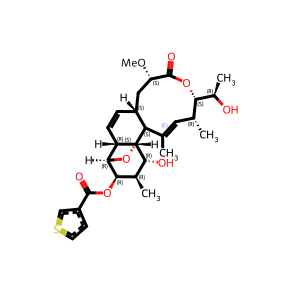 CO[C@H]1C[C@H]2C=C[C@H]3[C@H]4O[C@]2(/C(C)=C/[C@@H](C)[C@@H]([C@@H](C)O)OC1=O)[C@@H]3[C@H](O)[C@@H](C)[C@H]4OC(=O)c1ccsc1